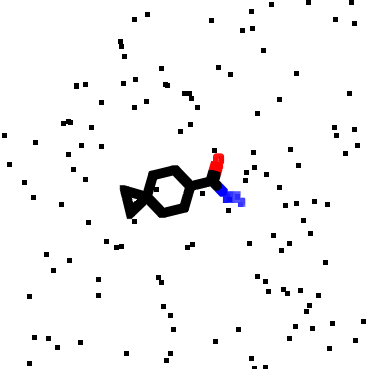 NC(=O)C1CCC2(CC1)CC2